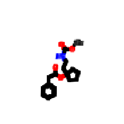 CC(C)(C)OC(=O)NCCC1(OC(=O)Cc2ccccc2)CCCC1